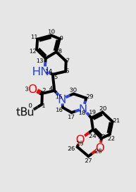 CC(C)(C)CC(=O)C(C1CCc2ccccc2N1)N1CCN(c2cccc3c2OCCO3)CC1